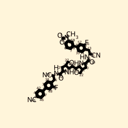 Cn1c(=O)oc2ccc(-c3ccc(CC(C#N)NC(=O)C4CC5COC(C6OCC7CC(C(=O)NC(C#N)Cc8ccc(-c9ccc(C#N)cc9)cc8F)NC76)C5N4)c(F)c3)cc21